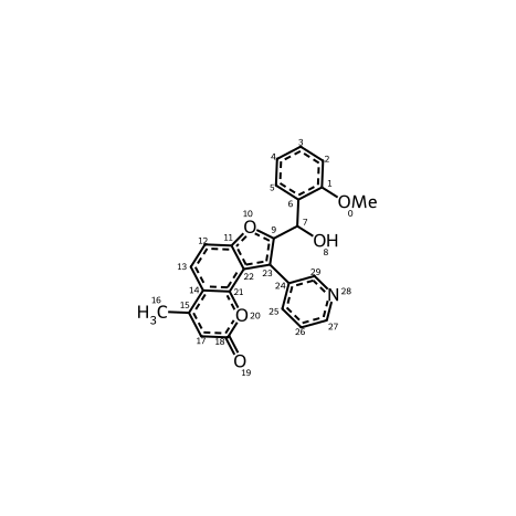 COc1ccccc1C(O)c1oc2ccc3c(C)cc(=O)oc3c2c1-c1cccnc1